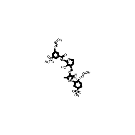 Cc1nn(-c2cc(S(=O)(=O)O)ccc2SOOO)c(N)c1N=Nc1ccnc(NC(=O)c2cc(SOOO)cc(S(=O)(=O)O)c2)c1O